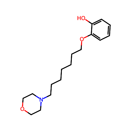 Oc1ccccc1OCCCCCCCN1CCOCC1